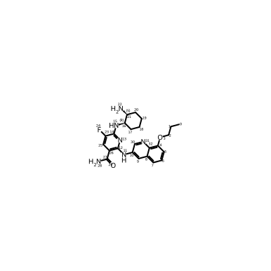 CCCOc1cccc2cc(Nc3nc(N[C@@H]4CCCC[C@@H]4N)c(F)cc3C(N)=O)cnc12